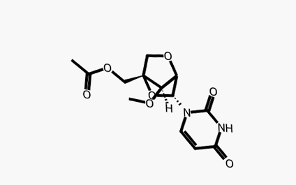 CO[C@@H]1C2OC[C@@]1(COC(C)=O)O[C@H]2n1ccc(=O)[nH]c1=O